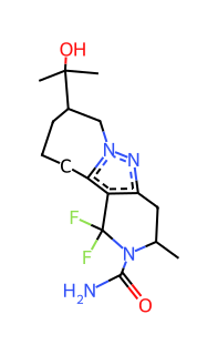 CC1Cc2nn3c(c2C(F)(F)N1C(N)=O)CCCC(C(C)(C)O)C3